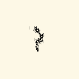 Cc1ccc(C(=O)NC(=N)/C=C\NCCCCSF)cc1C#Cc1ccc(N)nc1